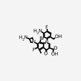 Cc1c(F)c(N2CC(N)C2)c(Br)c2c1c(=O)c(C(=O)O)cn2-c1cc(N)c(F)cc1CO